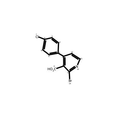 O=C(O)c1c(-c2ccc(Cl)cc2)ccnc1Br